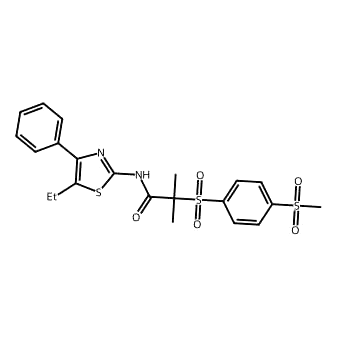 CCc1sc(NC(=O)C(C)(C)S(=O)(=O)c2ccc(S(C)(=O)=O)cc2)nc1-c1ccccc1